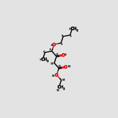 CCCCOC(CC)C(=O)CC(=O)OCC